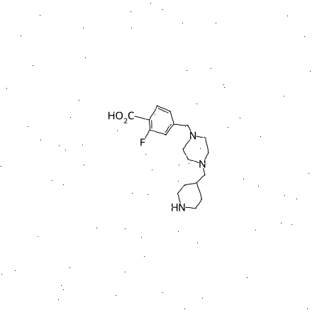 O=C(O)c1ccc(CN2CCN(CC3CCNCC3)CC2)cc1F